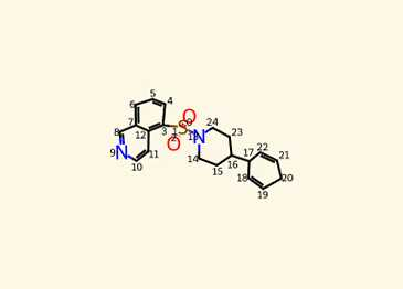 O=S(=O)(c1cccc2cnccc12)N1CCC(C2C=CCC=C2)CC1